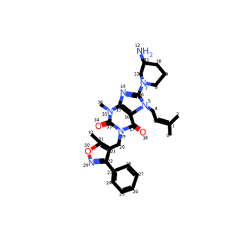 CC(C)=CCn1c(N2CCCC(N)C2)nc2c1c(=O)n(Cc1c(-c3ccccc3)noc1C)c(=O)n2C